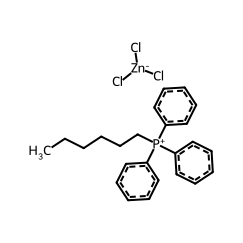 CCCCCC[P+](c1ccccc1)(c1ccccc1)c1ccccc1.[Cl][Zn-]([Cl])[Cl]